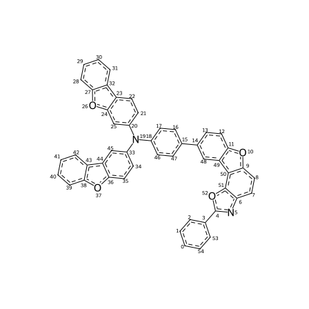 c1ccc(-c2nc3ccc4oc5ccc(-c6ccc(N(c7ccc8c(c7)oc7ccccc78)c7ccc8oc9ccccc9c8c7)cc6)cc5c4c3o2)cc1